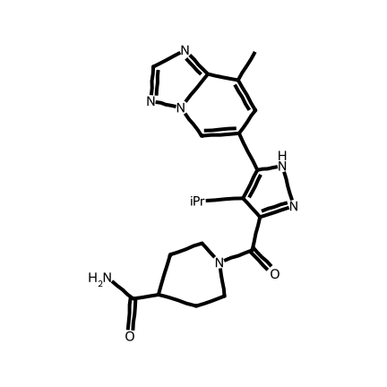 Cc1cc(-c2[nH]nc(C(=O)N3CCC(C(N)=O)CC3)c2C(C)C)cn2ncnc12